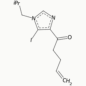 C=CCCC(=O)c1ncn(CC(C)C)c1I